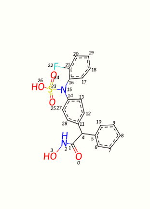 O=C(NO)C(c1ccccc1)c1ccc(N(c2ccccc2F)S(=O)(=O)O)cc1